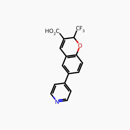 O=C(O)C1=Cc2cc(-c3ccncc3)ccc2OC1C(F)(F)F